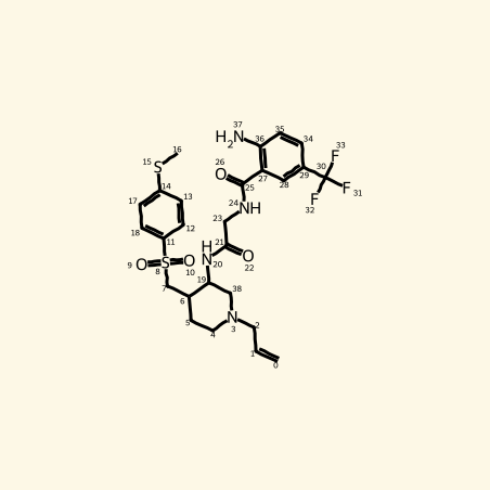 C=CCN1CCC(CS(=O)(=O)c2ccc(SC)cc2)C(NC(=O)CNC(=O)c2cc(C(F)(F)F)ccc2N)C1